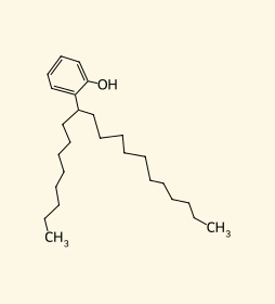 CCCCCCCCCCCC(CCCCCCCC)c1ccccc1O